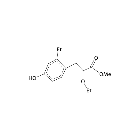 CCOC(Cc1ccc(O)cc1CC)C(=O)OC